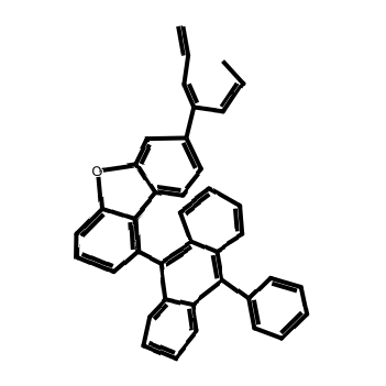 C=C/C=C(\C=C/C)c1ccc2c(c1)oc1cccc(-c3c4ccccc4c(-c4ccccc4)c4ccccc34)c12